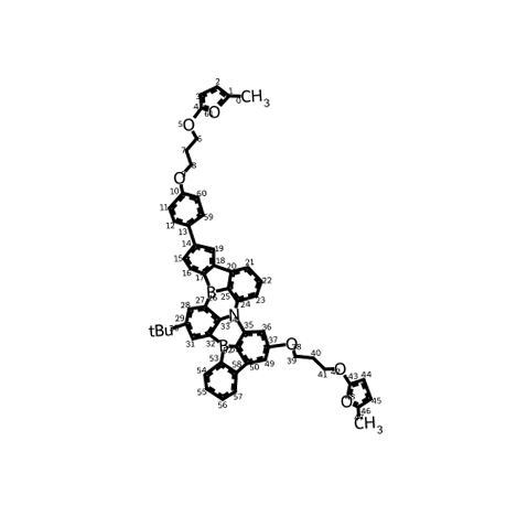 Cc1ccc(OCCCOc2ccc(-c3ccc4c(c3)-c3cccc5c3B4c3cc(C(C)(C)C)cc4c3N5c3cc(OCCCOc5ccc(C)o5)cc5c3B4c3ccccc3-5)cc2)o1